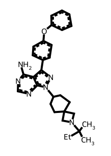 CCC(C)(C)N1CC2(CCC(n3nc(-c4ccc(Oc5ccccc5)cc4)c4c(N)ncnc43)CC2)C1